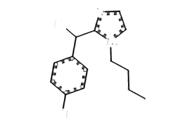 CCCCn1ccnc1C(O)c1ccc(Cl)cc1